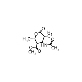 COC(=O)C1C(C)OC(=O)C(C)C1NC(C)=O